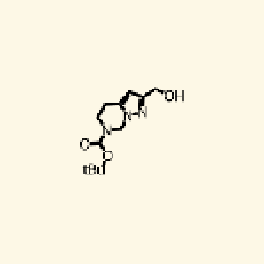 CC(C)(C)OC(=O)N1CCc2cc(CO)nn2C1